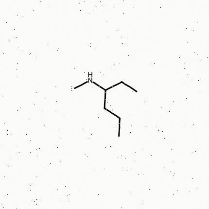 [C]NC(CC)CCC